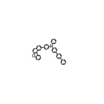 c1ccc(-c2ccc(-c3ccc(N(c4ccccc4)c4ccc(-c5ccc6ccc7oc8ccccc8c7c6c5)cc4)cc3)cc2)cc1